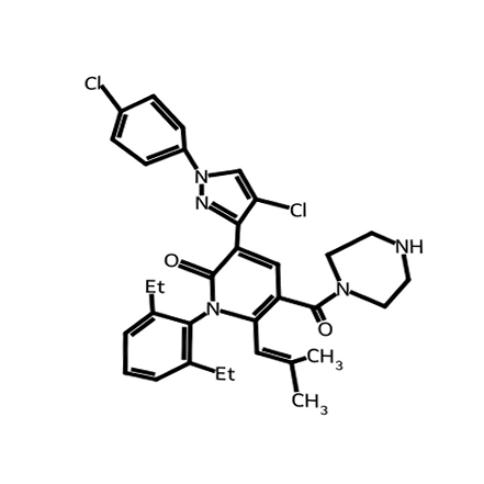 CCc1cccc(CC)c1-n1c(C=C(C)C)c(C(=O)N2CCNCC2)cc(-c2nn(-c3ccc(Cl)cc3)cc2Cl)c1=O